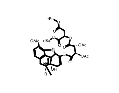 CCCCOC(=O)[C@@H](CC(=O)OC(C)(C)C)OC(=O)[C@H](OC(C)=O)[C@@H](OC(C)=O)C(=O)OC1=CC[C@@]2(O)[C@H]3Cc4ccc(OC)c5c4[C@@]2(CCN3C)[C@H]1O5